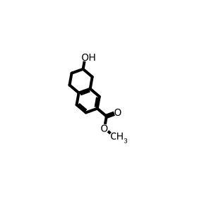 COC(=O)c1ccc2c(c1)CC(O)CC2